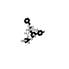 CC(C)(NC(=O)OCc1ccccc1)c1cc(O[C@H]2[C@@H]3CNC[C@@H]32)nc(-c2ccc(F)cc2F)c1